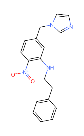 O=[N+]([O-])c1ccc(Cn2ccnc2)cc1NCCc1ccccc1